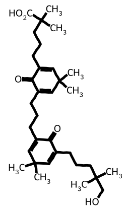 CC1(C)C=C(CCCC2=CC(C)(C)C=C(CCCC(C)(C)C(=O)O)C2=O)C(=O)C(CCCC(C)(C)CO)=C1